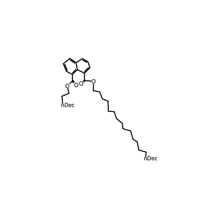 CCCCCCCCCCCCCCCCCCCCCCCCOC(=O)c1cccc2cccc(C(=O)OCCCCCCCCCCCC)c12